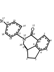 CC12CCc3cccc(c31)C(=O)N(c1ccc(Br)cc1)C2